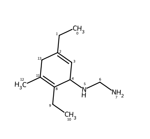 CCC1=CC(NCN)C(CC)=C(C)C1